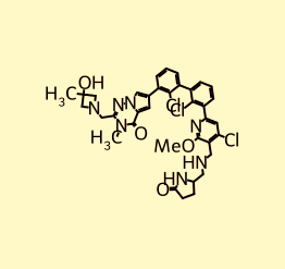 COc1nc(-c2cccc(-c3cccc(-c4cc5c(=O)n(C)c(CN6CC(C)(O)C6)nn5c4)c3Cl)c2Cl)cc(Cl)c1CNCC1CCC(=O)N1